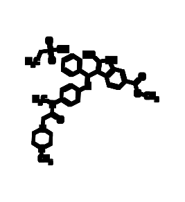 CCS(=O)(=O)O.COC(=O)c1ccc2c(C(=Nc3ccc(N(C)C(=O)CN4CCN(C)CC4)cc3)c3ccccc3)c(O)[nH]c2c1